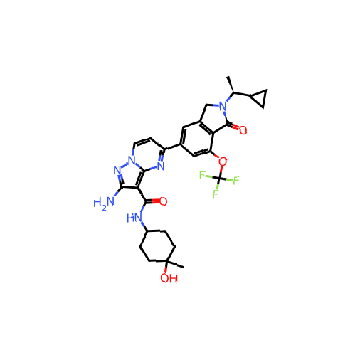 C[C@@H](C1CC1)N1Cc2cc(-c3ccn4nc(N)c(C(=O)NC5CCC(C)(O)CC5)c4n3)cc(OC(F)(F)F)c2C1=O